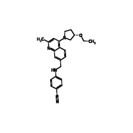 CCO[C@H]1CCN(c2cc(C)nc3cc(CNc4ccc(C#N)cc4)ccc23)C1